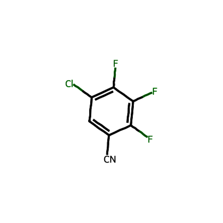 N#Cc1cc(Cl)c(F)c(F)c1F